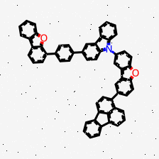 c1ccc2c(c1)-c1cccc3c(-c4ccc5oc6ccc(-n7c8ccccc8c8cc(-c9ccc(-c%10cccc%11c%10oc%10ccccc%10%11)cc9)ccc87)cc6c5c4)ccc-2c13